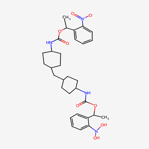 CC(OC(=O)NC1CCC(CC2CCC(NC(=O)OC(C)c3ccccc3[N+](=O)[O-])CC2)CC1)c1ccccc1N(O)O